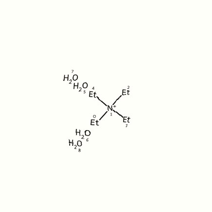 CC[N+](CC)(CC)CC.O.O.O.O